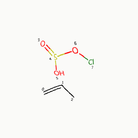 C=CC.O=S(O)OCl